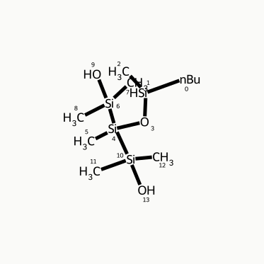 CCCC[SiH](C)O[Si](C)([Si](C)(C)O)[Si](C)(C)O